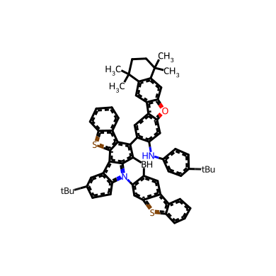 CC(C)(C)c1ccc(Nc2cc3oc4cc5c(cc4c3cc2-c2c3c4c(c6cc(C(C)(C)C)ccc6n4-c4cc6sc7ccccc7c6cc4B3)c3sc4ccccc4c23)C(C)(C)CCC5(C)C)cc1